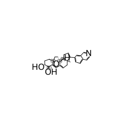 CC12CC=C3C=C4[C@@H](O)C(O)CC[C@]45CC[C@]3(O5)[C@@H]1CC=C2c1ccc2ccncc2c1